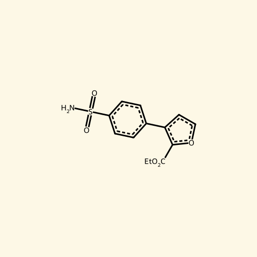 CCOC(=O)c1occc1-c1ccc(S(N)(=O)=O)cc1